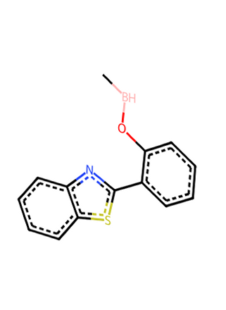 CBOc1ccccc1-c1nc2ccccc2s1